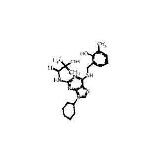 CCC(Nc1nc(NCc2cccc(C)c2O)c2ncn(C3CCCCC3)c2n1)C(C)(C)O